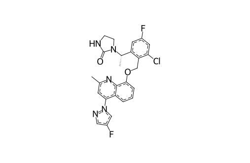 Cc1cc(-n2cc(F)cn2)c2cccc(OCc3c(Cl)cc(F)cc3[C@H](C)N3CCNC3=O)c2n1